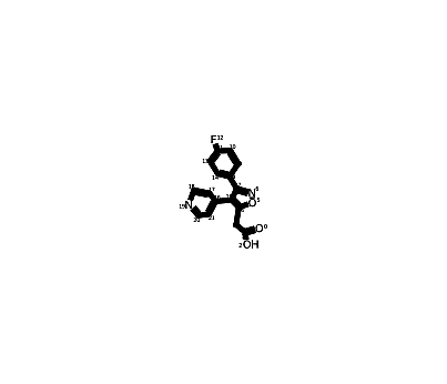 O=C(O)Cc1onc(-c2ccc(F)cc2)c1-c1ccncc1